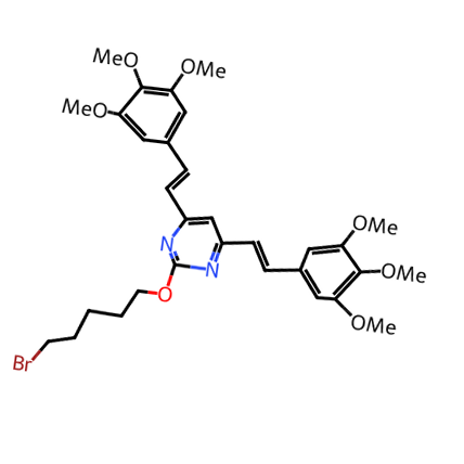 COc1cc(C=Cc2cc(C=Cc3cc(OC)c(OC)c(OC)c3)nc(OCCCCCBr)n2)cc(OC)c1OC